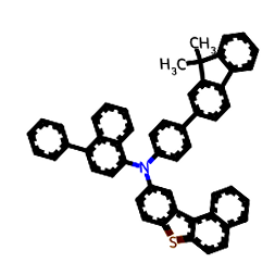 CC1(C)c2ccccc2-c2ccc(-c3ccc(N(c4ccc5sc6ccc7ccccc7c6c5c4)c4ccc(-c5ccccc5)c5ccccc45)cc3)cc21